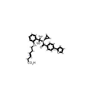 [2H]C([2H])(c1ccccc1OCC/C=C/CC(=O)O)N(C(=O)c1ccc(-c2ccco2)cc1)C1CC1